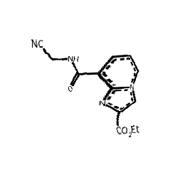 CCOC(=O)c1cn2cccc(C(=O)NCC#N)c2n1